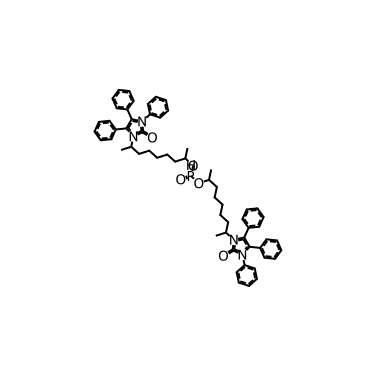 CC(CCCCCC(C)n1c(-c2ccccc2)c(-c2ccccc2)n(-c2ccccc2)c1=O)O[PH](=O)OC(C)CCCCCC(C)n1c(-c2ccccc2)c(-c2ccccc2)n(-c2ccccc2)c1=O